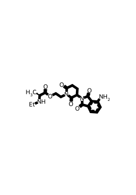 CCN[C@@H](C)C(=O)OCCN1C(=O)CCC(N2C(=O)c3cccc(N)c3C2=O)C1=O